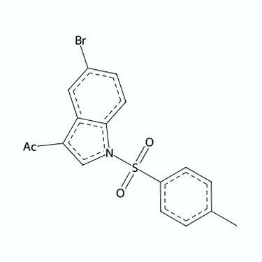 CC(=O)c1cn(S(=O)(=O)c2ccc(C)cc2)c2ccc(Br)cc12